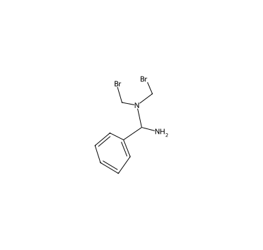 NC(c1ccccc1)N(CBr)CBr